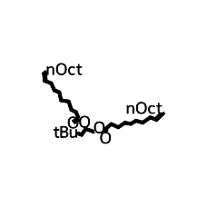 CCCCCCCC/C=C\CCCCCCCC(=O)OCC(CC(C)(C)C)OC(=O)CCCCCCC/C=C\CCCCCCCC